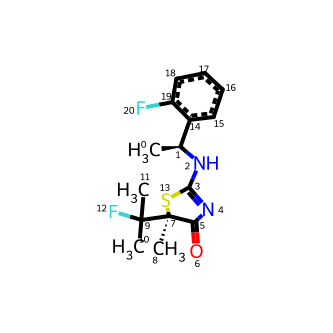 C[C@H](NC1=NC(=O)[C@@](C)(C(C)(C)F)S1)c1ccccc1F